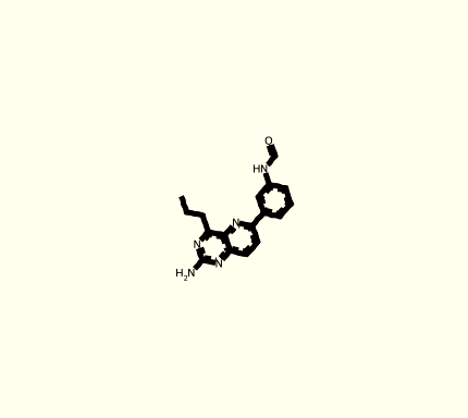 CCCc1nc(N)nc2ccc(-c3cccc(NC=O)c3)nc12